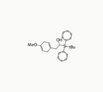 COC1=CCC(CC(O)[Si](c2ccccc2)(c2ccccc2)C(C)(C)C)=CC1